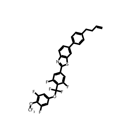 C=CCCc1ccc(-c2ccc3nc(-c4cc(F)c(C(F)(F)Oc5cc(F)c(OC(F)(F)F)c(F)c5)c(F)c4)sc3c2)cc1